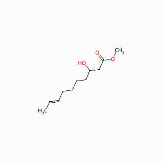 CC=CCCCCC(O)CC(=O)OC